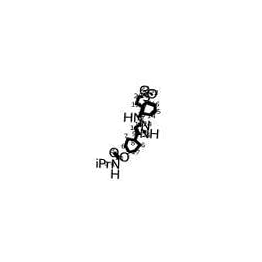 CC(C)NC(=O)OC1CCC(c2cc(Nc3cccc4c3CCS4(=O)=O)n[nH]2)CC1